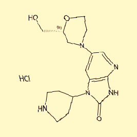 Cl.O=c1[nH]c2ncc(N3CCO[C@@H](CO)C3)cc2n1C1CCNCC1